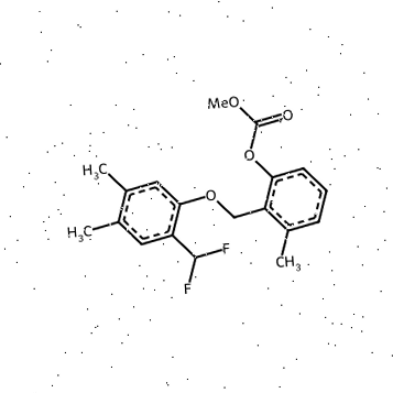 COC(=O)Oc1cccc(C)c1COc1cc(C)c(C)cc1C(F)F